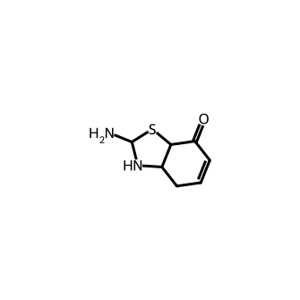 NC1NC2CC=CC(=O)C2S1